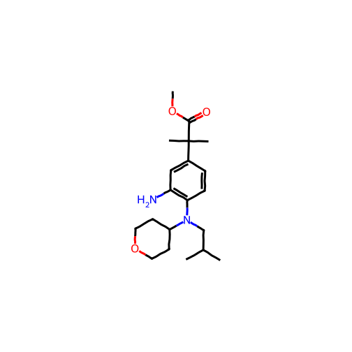 COC(=O)C(C)(C)c1ccc(N(CC(C)C)C2CCOCC2)c(N)c1